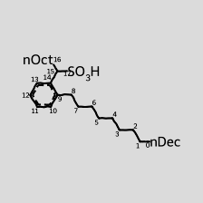 CCCCCCCCCCCCCCCCCCc1ccccc1C(CCCCCCCC)S(=O)(=O)O